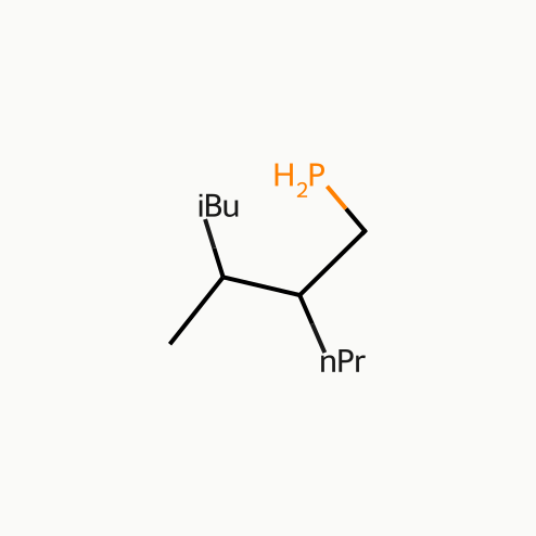 CCCC(CP)C(C)C(C)CC